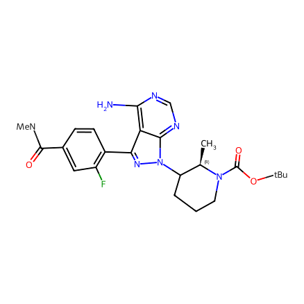 CNC(=O)c1ccc(-c2nn(C3CCCN(C(=O)OC(C)(C)C)[C@@H]3C)c3ncnc(N)c23)c(F)c1